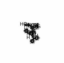 O=C(O[C@@H]1[C@H](O)[C@@H](n2cc(CO)cn2)C[C@H]1n1cnc2c(NCC(c3ccccc3)c3ccccc3)nc(NC3CCNCC3)nc21)C(F)(F)F